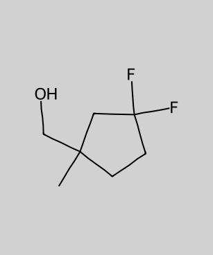 CC1(CO)CCC(F)(F)C1